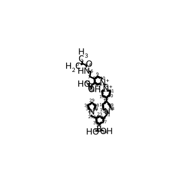 C=C(C)C(=O)NCCc1cc[n+](C[n+]2ccc(-c3cc[n+](Cc4cc(C[n+]5ccccc5)cc(B(O)O)c4)cc3)cc2)cc1B(O)O